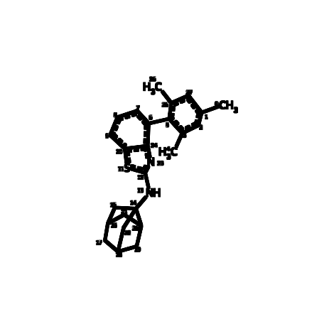 Cc1cc(C)c(-c2cccc3sc(NC45CC6CC(CC4C6)C5)nc23)c(C)c1